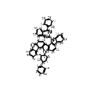 c1ccc(-c2ccc(-n3c4ccc5c6ccccc6n(-c6nc(-c7ccccc7)c7ccccc7n6)c5c4c4ccc5oc6ccccc6c5c43)cc2)cc1